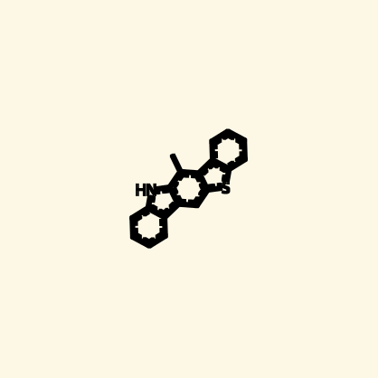 Cc1c2[nH]c3ccccc3c2cc2sc3ccccc3c12